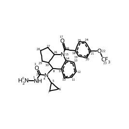 NNC(=O)N(C1CC1)C1c2ccccc2N(C(=O)c2ccc(OC(F)(F)F)cc2)C2CCCC21